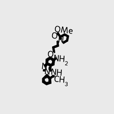 COC(=O)C1CCCCN1CCCCOc1cc2ncnc(NC(C)c3ccccc3)c2cc1N